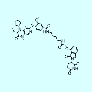 CC[C@@H]1C(=O)N(C)c2cnc(Nc3ccc(C(=O)NCCCCNC(=O)COc4cccc5c4C(=O)N(C4CCC(=O)NC4=O)C5)cc3OC)nc2N1C1CCCC1